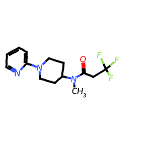 CN(C(=O)CC(F)(F)F)C1CCN(c2ccccn2)CC1